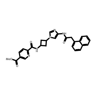 COC(=O)c1ccc(C(=O)NC2CC(n3cnc(NC(=O)Cc4cccc5ccccc45)c3)C2)nc1